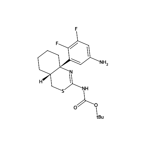 CC(C)(C)OC(=O)NC1=N[C@@]2(c3cc(N)cc(F)c3F)CCCC[C@H]2CS1